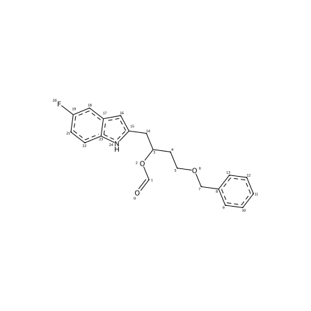 O=COC(CCOCc1ccccc1)Cc1cc2cc(F)ccc2[nH]1